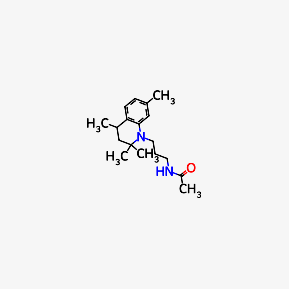 CC(=O)NCCCN1c2cc(C)ccc2C(C)CC1(C)C